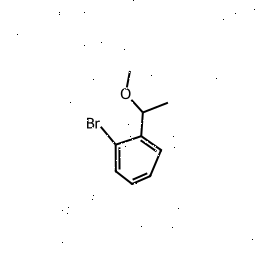 COC(C)c1ccccc1Br